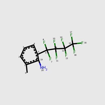 Cc1cccc(C(F)(F)C(F)(F)C(F)(F)C(F)(F)F)c1N